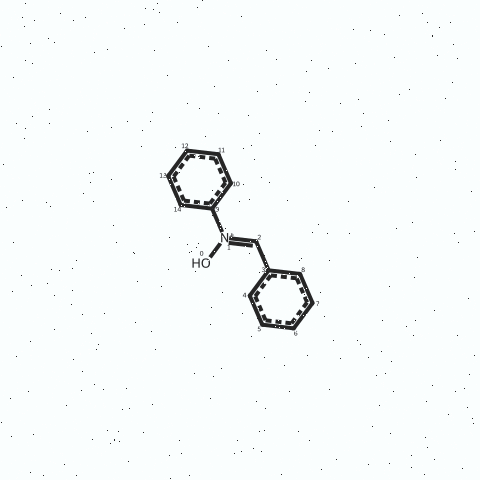 O/[N+](=C\c1ccccc1)c1ccccc1